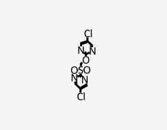 O=S(=O)(COc1ncc(Cl)cn1)c1ncc(Cl)cn1